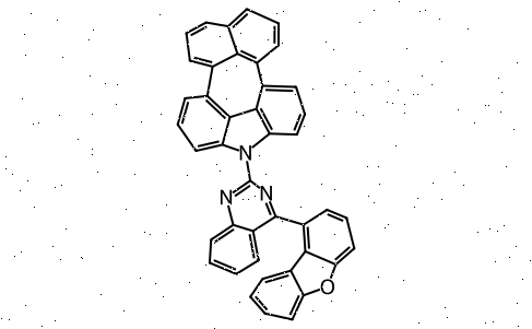 c1cc2c3c(cccc3c1)-c1cccc3c1c1c-2cccc1n3-c1nc(-c2cccc3oc4ccccc4c23)c2ccccc2n1